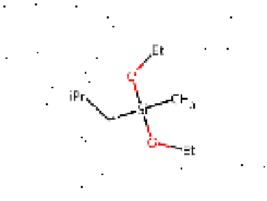 CCO[Si](C)(CC(C)C)OCC